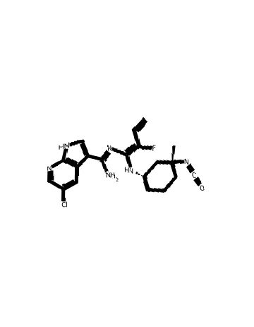 C=C/C(F)=C(\N=C(/N)c1c[nH]c2ncc(Cl)cc12)N[C@H]1CCC[C@@](C)(N=C=O)C1